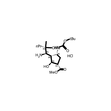 CCC[C@](C)(OC)[C@H](N)[C@H]1[C@H](O)[C@@H](C(=O)OC)C[C@H]1NC(=O)OC(C)(C)C.Cl